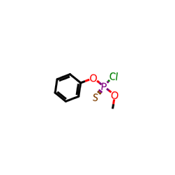 COP(=S)(Cl)Oc1ccccc1